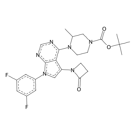 CC1CN(C(=O)OC(C)(C)C)CCN1c1ncnc2c1c(N1CCC1=O)cn2-c1cc(F)cc(F)c1